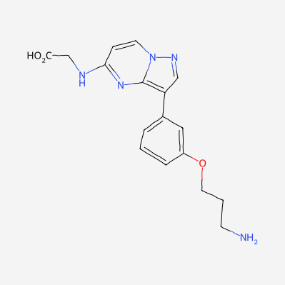 NCCCOc1cccc(-c2cnn3ccc(NCC(=O)O)nc23)c1